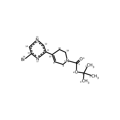 CC(C)(C)OC(=O)N1CC=C(c2cncc(Br)n2)CC1